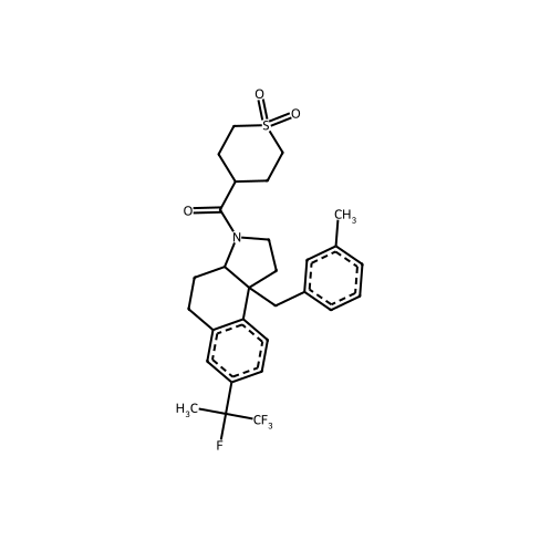 Cc1cccc(CC23CCN(C(=O)C4CCS(=O)(=O)CC4)C2CCc2cc(C(C)(F)C(F)(F)F)ccc23)c1